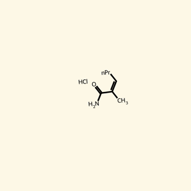 CCCC=C(C)C(N)=O.Cl